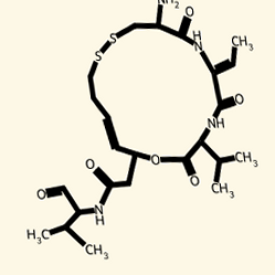 C/C=C1\NC(=O)C(N)CSSCC/C=C/C(CC(=O)NC(C=O)C(C)C)OC(=O)C(C(C)C)NC1=O